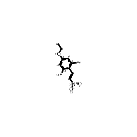 CCOc1cc(F)c(C=C[N+](=O)[O-])c(F)c1